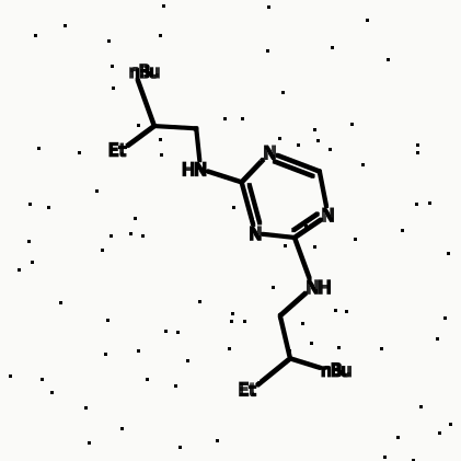 CCCCC(CC)CNc1ncnc(NCC(CC)CCCC)n1